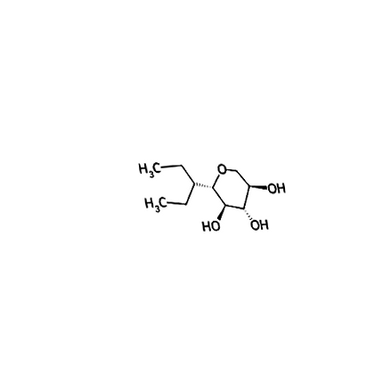 CCC(CC)[C@@H]1OC[C@@H](O)[C@H](O)[C@H]1O